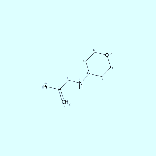 C=C(CNC1CCOCC1)C(C)C